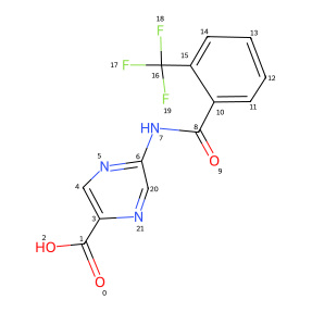 O=C(O)c1cnc(NC(=O)c2ccccc2C(F)(F)F)cn1